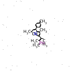 CC/C(=C(/C)PC)c1cnc(/C(=C\C(C)C)c2ccc(C)cc2)c(C)c1